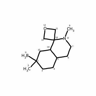 BC1(C)CCC2CCN(C)C3(COC3)C2C1